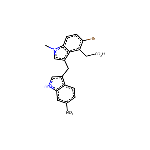 Cn1cc(Cc2c[nH]c3cc([N+](=O)[O-])ccc23)c2c(CC(=O)O)c(Br)ccc21